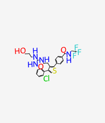 N=C(NCCCO)NC(=O)Cc1c(-c2ccccc2Cl)csc1-c1ccc(C(=O)NCC(F)(F)F)cc1